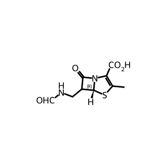 CC1=C(C(=O)O)N2C(=O)C(CNC=O)[C@H]2S1